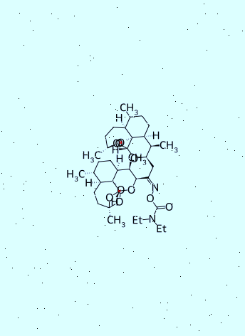 CCN(CC)C(=O)O/N=C(/C[C@H]1O[C@@H]2O[C@]3(C)CC[C@H]4C(C)CC[C@@H]([C@H]1C)[C@@]24OO3)[C@H]1O[C@@H]2O[C@]3(C)CC[C@H]4[C@H](C)CC[C@@H]([C@H]1C)[C@@]24OO3